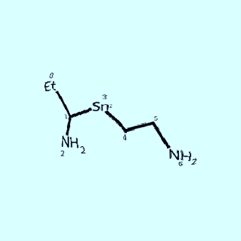 CC[CH](N)[Sn][CH2]CN